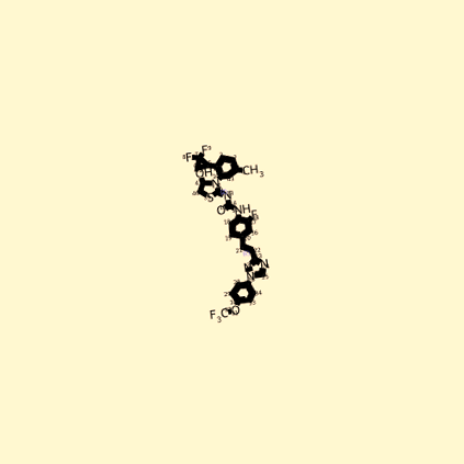 Cc1ccc(C2CC2(F)F)c(N2/C(=N/C(=O)Nc3ccc(/C=C/c4ncn(-c5ccc(OC(F)(F)F)cc5)n4)cc3F)SCC2O)c1